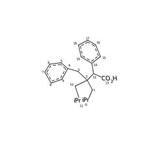 CC(C)CC(Cc1ccccc1)(CC(C)C)C(C(=O)O)c1ccccc1